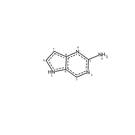 Nc1ncc2[nH]ccc2n1